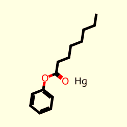 CCCCCCCC(=O)Oc1ccccc1.[Hg]